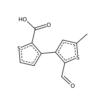 Cc1cc(-c2ccsc2C(=O)O)c(C=O)s1